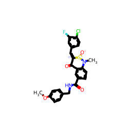 COc1ccc(CNC(=O)c2ccc3c(c2)C(=O)/C(=C/c2ccc(Cl)c(F)c2)[S+]([O-])N3C)cc1